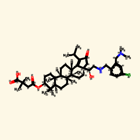 CC(C)C1=C2[C@H]3CC[C@@H]4[C@@]5(C)CC[C@H](OC(=O)CC(C)(C)C(=O)O)C(C)(C)[C@@H]5CC[C@@]4(C)[C@]3(C)CC[C@@]2([C@@H](O)CNCc2ccc(Cl)cc2CN(C)C)CC1=O